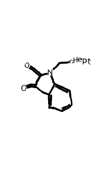 CCCCCCCCN1C(=O)C(=O)c2ccccc21